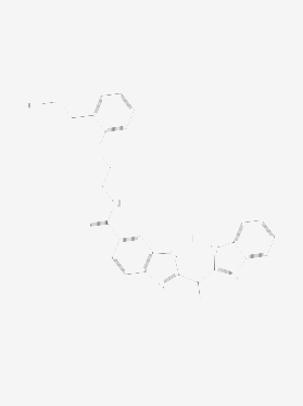 CC(C)OCc1ccccc1OCCNC(=O)c1ccc2nc(C(C)c3nc4ccccc4[nH]3)n(C)c2c1